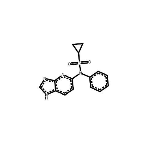 O=S(=O)(C1CC1)N(c1ccccc1)c1ccc2[nH]cnc2n1